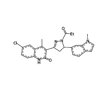 CCC(=O)N1N=C(c2c(C)c3cc(Cl)ccc3[nH]c2=O)CC1c1ccc2ccn(C)c2c1